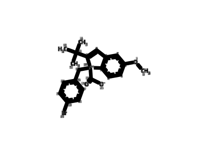 COc1ccc2c(c1)C=C(C(C)(C)C)[N+]2(Cc1ccc(Br)cc1)C(=O)[O-]